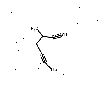 C#C[C](C)CC#CC(C)(C)C